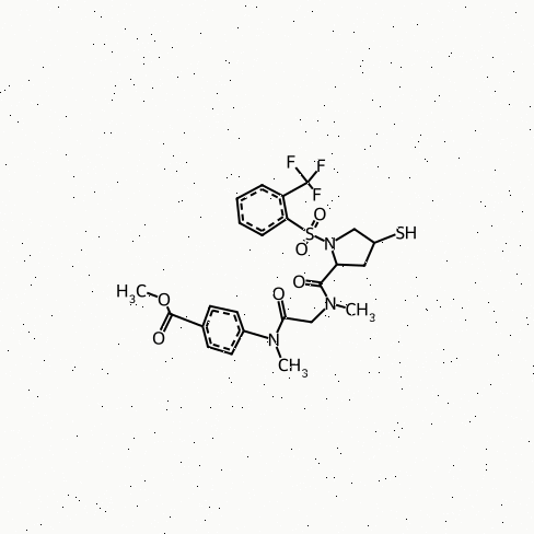 COC(=O)c1ccc(N(C)C(=O)CN(C)C(=O)C2CC(S)CN2S(=O)(=O)c2ccccc2C(F)(F)F)cc1